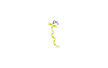 CS(=S)(=S)SSSSSS